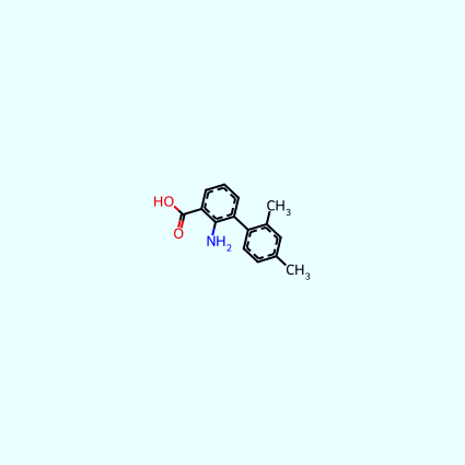 Cc1ccc(-c2cccc(C(=O)O)c2N)c(C)c1